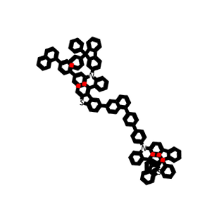 c1ccc(C2(c3ccccc3)c3ccccc3-c3ccc(N(c4ccc(-c5ccc(-c6cccc7cc(-c8ccc9sc%10cccc(-c%11ccccc%11N(c%11cccc(-c%12ccc(-c%13cccc%14ccccc%13%14)cc%12)c%11)c%11ccc%12c(c%11)C(c%11ccccc%11)(c%11ccccc%11)c%11ccccc%11-%12)c%10c9c8)ccc67)cc5)cc4)c4ccccc4-c4cccc5sc6ccccc6c45)cc32)cc1